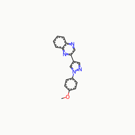 COc1ccc(-n2cc(-c3cnc4ccccc4n3)cn2)cc1